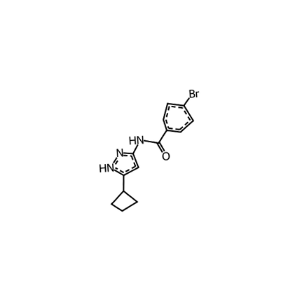 O=C(Nc1cc(C2CCC2)[nH]n1)c1ccc(Br)cc1